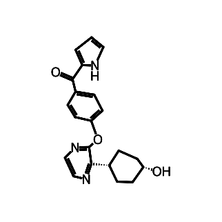 O=C(c1ccc(Oc2nccnc2[C@H]2CC[C@@H](O)CC2)cc1)c1ccc[nH]1